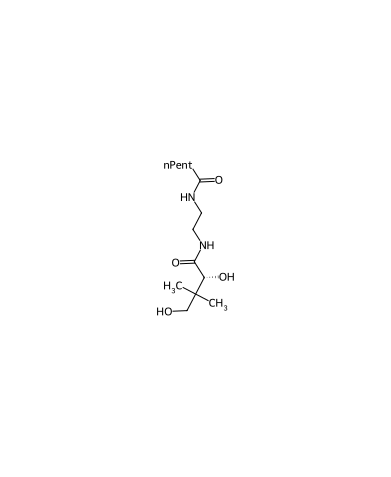 CCCCCC(=O)NCCNC(=O)[C@H](O)C(C)(C)CO